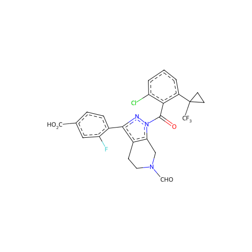 O=CN1CCc2c(-c3ccc(C(=O)O)cc3F)nn(C(=O)c3c(Cl)cccc3C3(C(F)(F)F)CC3)c2C1